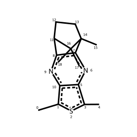 Cc1sc(C)c2nc3c(nc12)C1CCC3(C)C1(C)C